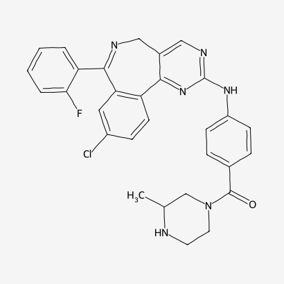 CC1CN(C(=O)c2ccc(Nc3ncc4c(n3)-c3ccc(Cl)cc3C(c3ccccc3F)=NC4)cc2)CCN1